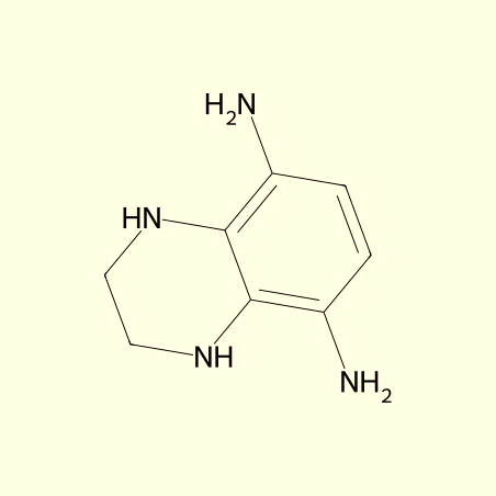 Nc1ccc(N)c2c1NCCN2